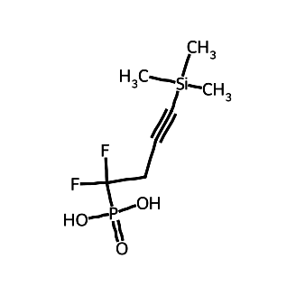 C[Si](C)(C)C#CCC(F)(F)P(=O)(O)O